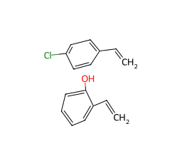 C=Cc1ccc(Cl)cc1.C=Cc1ccccc1O